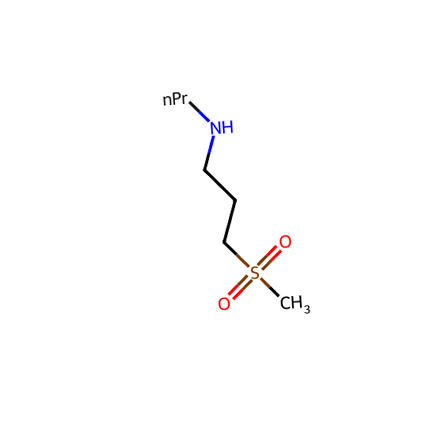 CCCNCCCS(C)(=O)=O